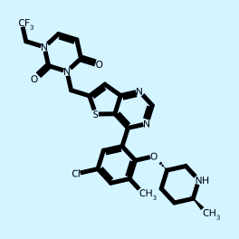 Cc1cc(Cl)cc(-c2ncnc3cc(Cn4c(=O)ccn(CC(F)(F)F)c4=O)sc23)c1O[C@H]1CC[C@H](C)NC1